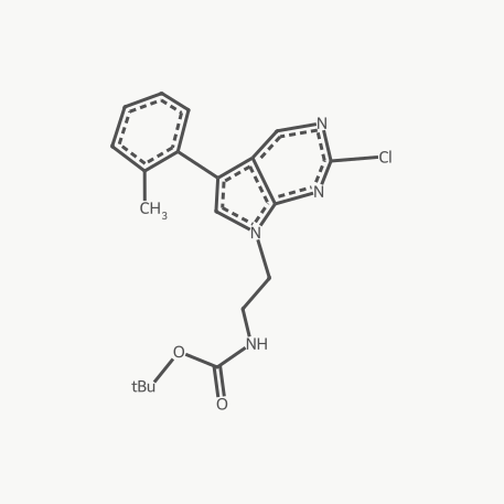 Cc1ccccc1-c1cn(CCNC(=O)OC(C)(C)C)c2nc(Cl)ncc12